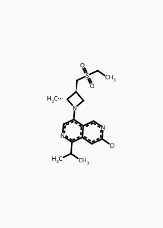 CCS(=O)(=O)C[C@H]1CN(c2cnc(C(C)C)c3cc(Cl)ncc23)[C@@H]1C